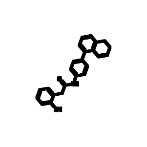 O=C(Cc1ccccc1O)Nc1ccc(-c2cccc3c2C=CCC3)cc1